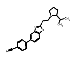 CC(C)C1CCCN1CCc1nc2cc(-c3ccc(C#N)cc3)ccc2o1